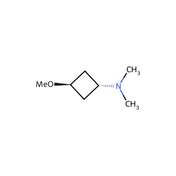 CO[C@H]1C[C@H](N(C)C)C1